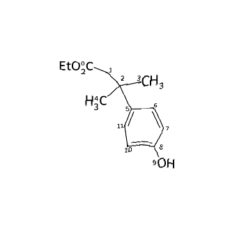 CCOC(=O)CC(C)(C)c1ccc(O)cc1